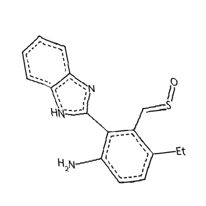 CCc1ccc(N)c(-c2nc3ccccc3[nH]2)c1C=S=O